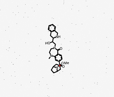 COC1CC2CCC(C1)N2C(=O)c1ccc2c(c1)N(C)CCN(CC(O)C1Cc3ccccc3CN1)C2=O